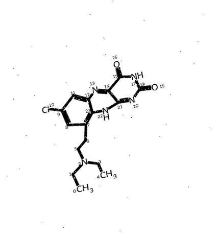 CCN(CC)CCc1cc(Cl)cc2nc3c(=O)[nH]c(=O)nc-3[nH]c12